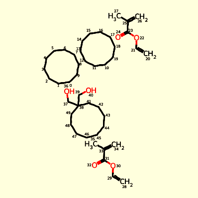 C1CCCCCCCCC1.C1CCCCCCCCC1.C=COC(=O)C(=C)C.C=COC(=O)C(=C)C.OCC1(CO)CCCCCCCCC1